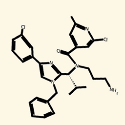 Cc1cc(C(=O)N(CCCN)[C@@H](c2nc(-c3cccc(Cl)c3)cn2Cc2ccccc2)C(C)C)cc(Cl)n1